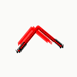 O.O.O.O.O.O.O.O.O.O.O.O.O.O.O.O.O.O.O.O.O.O.O.O.O.O.O.O.O.O.O.O.O.O.O.O.O.O.O.O.O.O.O.O.O.O.O.[Ni].[Ti].[Ti].[Ti].[Ti].[Ti].[Ti].[Ti].[Ti].[Ti].[Ti].[Ti].[Ti].[Ti].[Ti].[Ti].[Ti].[Ti].[Ti].[Ti].[Ti].[W].[W]